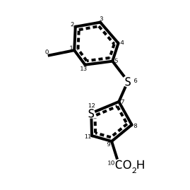 Cc1cccc(Sc2cc(C(=O)O)cs2)c1